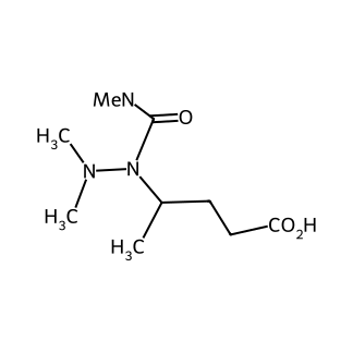 CNC(=O)N(C(C)CCC(=O)O)N(C)C